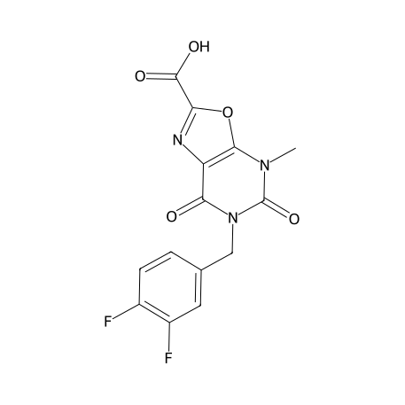 Cn1c(=O)n(Cc2ccc(F)c(F)c2)c(=O)c2nc(C(=O)O)oc21